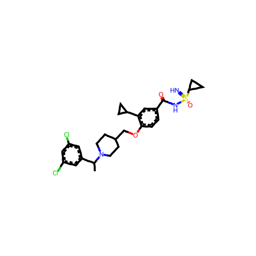 CC(c1cc(Cl)cc(Cl)c1)N1CCC(COc2ccc(C(=O)NS(=N)(=O)C3CC3)cc2C2CC2)CC1